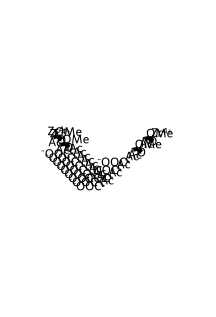 CC(=O)CC(=O)[O-].CC(=O)CC(=O)[O-].CC(=O)CC(=O)[O-].CC(=O)CC(=O)[O-].CC(=O)CC(=O)[O-].CC(=O)CC(=O)[O-].CC(=O)CC(=O)[O-].CC(=O)CC(=O)[O-].CC(=O)CC(=O)[O-].CC(=O)CC(=O)[O-].CC(=O)CC(=O)[O-].CC(=O)CC(=O)[O-].COC(=O)CC(C)=O.COC(=O)CC(C)=O.COC(=O)CC(C)=O.COC(=O)CC(C)=O.[Zr+4].[Zr+4].[Zr+4]